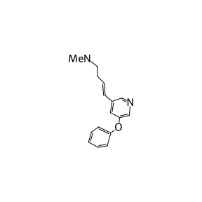 CNCC/C=C/c1cncc(Oc2ccccc2)c1